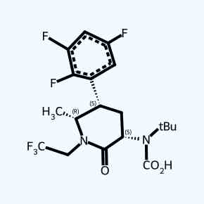 C[C@@H]1[C@H](c2cc(F)cc(F)c2F)C[C@H](N(C(=O)O)C(C)(C)C)C(=O)N1CC(F)(F)F